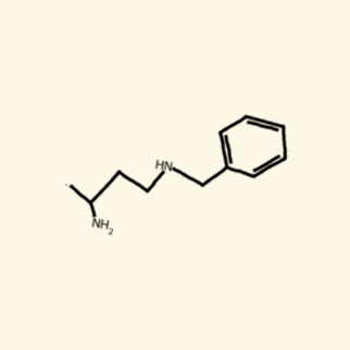 [CH2]C(N)CCNCc1ccccc1